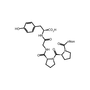 CCCCCCCCCC(=O)N1CCC[C@H]1C(=O)N1CCC[C@H]1C(=O)NCC(=O)N[C@@H](Cc1ccc(O)cc1)C(=O)O